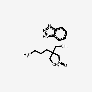 CCCCC(CC)(CC)CP=O.c1ccc2[nH]nnc2c1